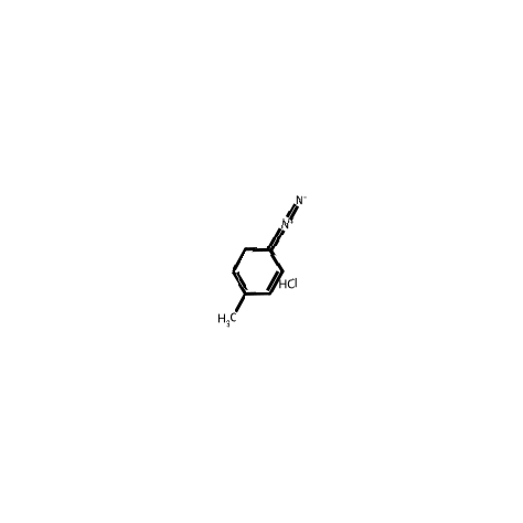 CC1=CCC(=[N+]=[N-])C=C1.Cl